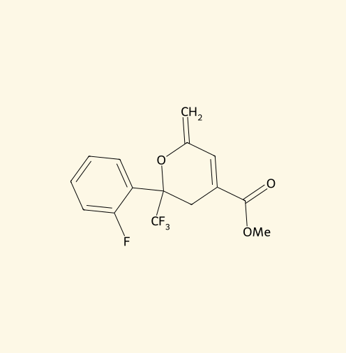 C=C1C=C(C(=O)OC)CC(c2ccccc2F)(C(F)(F)F)O1